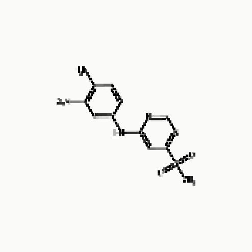 CS(=O)(=O)c1cc(Nc2ccc(N)c([N+](=O)[O-])c2)ncn1